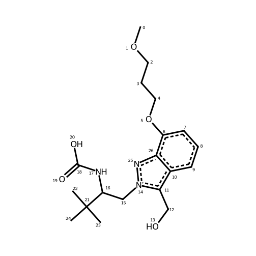 COCCCOc1cccc2c(CO)n(CC(NC(=O)O)C(C)(C)C)nc12